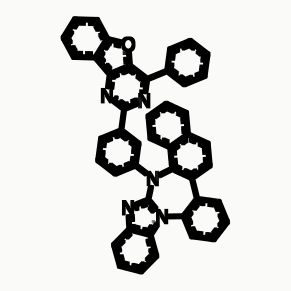 c1ccc(-c2nc(-c3cccc(N4c5c(ccc6ccccc56)-c5ccccc5-n5c4nc4ccccc45)c3)nc3c2oc2ccccc23)cc1